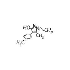 CCCn1nc(O)c(-c2ccc(C)cc2)c1C